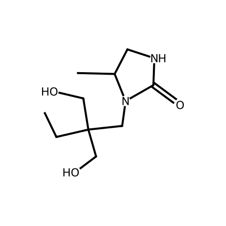 CCC(CO)(CO)CN1C(=O)NCC1C